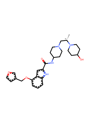 C[C@@H](CN1CCC(NC(=O)c2cc3c(OCc4ccoc4)cccc3[nH]2)CC1)N1CCC(O)CC1